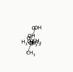 CCCCCCCCON1C(C)(C)CC([C@H](CCCCCCCC(=O)O)C(=O)O)CC1(C)C